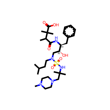 CC(C)CCN(C[C@@H](O)[C@H](Cc1ccccc1)NC(=O)C(C)C(C)(C)C(=O)O)S(=O)(=O)NC(C)(C)CN1CCN(C)CC1